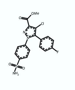 COC(=O)c1nn(-c2ccc(S(N)(=O)=O)cc2)c(-c2ccc(F)cc2)c1Cl